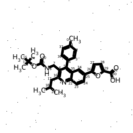 Cc1ccc(-c2c(CNC(=O)OC(C)(C)C)c(CC(C)C)nc3ccc(-c4ccc(C(=O)O)o4)cc23)cc1